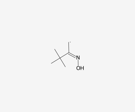 [CH2]C(=NO)C(C)(C)C